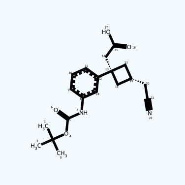 CC(C)(C)OC(=O)Nc1cccc([C@]2(CC(=O)O)C[C@@H](CC#N)C2)c1